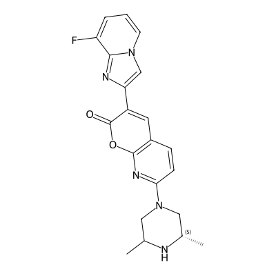 CC1CN(c2ccc3cc(-c4cn5cccc(F)c5n4)c(=O)oc3n2)C[C@H](C)N1